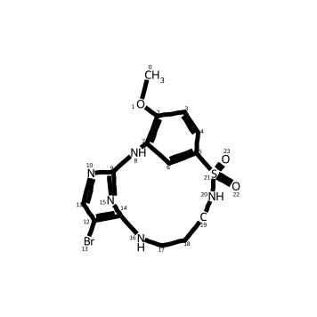 COc1ccc2cc1Nc1ncc(Br)c(n1)NCCCNS2(=O)=O